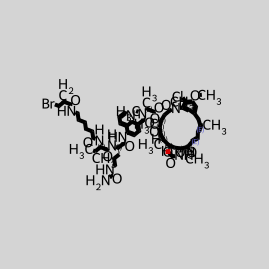 C=C(CBr)C(=O)NCCCCCC(=O)N[C@H](C(=O)N[C@@H](CCCNC(N)=O)C(=O)Nc1ccc(C(=O)N(C)[C@@H](C)C(=O)O[C@H]2CC(=O)N(C)c3cc(cc(OC)c3Cl)C/C(C)=C/C=C/[C@@H](OC)[C@@]3(O)C[C@H](OC(=O)N3)[C@@H](C)[C@@H]3O[C@@]23C)c2ncccc12)C(C)C